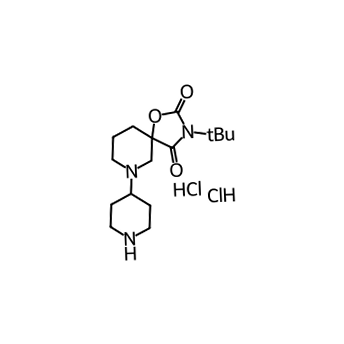 CC(C)(C)N1C(=O)OC2(CCCN(C3CCNCC3)C2)C1=O.Cl.Cl